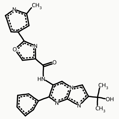 Cc1cc(-c2nc(C(=O)Nc3cn4cc(C(C)(C)O)nc4nc3-c3ccccc3)co2)ccn1